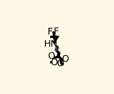 COC(=O)C(=C/C=C/NC1CC1(C)C(F)F)C(=O)OC